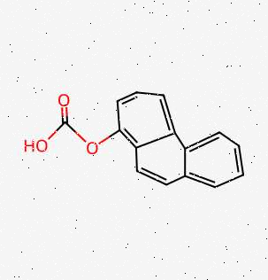 O=C(O)Oc1cccc2c1ccc1ccccc12